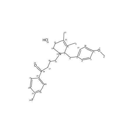 COc1ccc(CC2C(C)=C(C)CCN2CCCC(=O)c2ccc(F)cc2)cc1.Cl